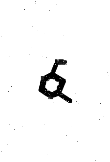 CNc1cc(C)n[c]n1